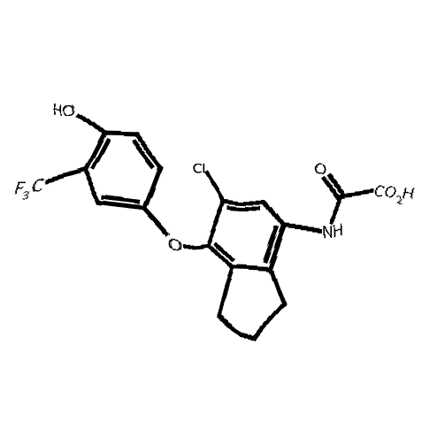 O=C(O)C(=O)Nc1cc(Cl)c(Oc2ccc(O)c(C(F)(F)F)c2)c2c1CCC2